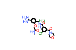 CNC(=O)COc1cc(C(=N)N)ccc1CNC(=O)c1cc(Cl)cc(C(=O)N2CCOCC2)c1.Cl